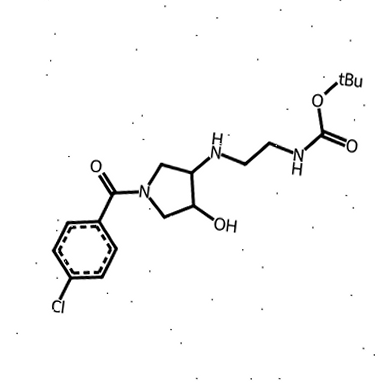 CC(C)(C)OC(=O)NCCNC1CN(C(=O)c2ccc(Cl)cc2)CC1O